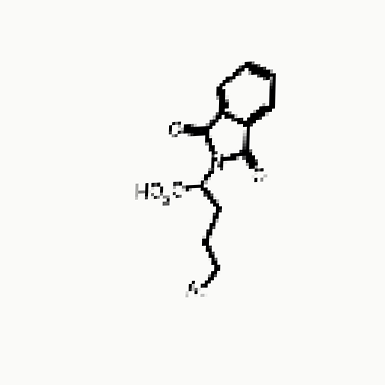 CC(=O)CCC[C@@H](C(=O)O)N1C(=O)c2ccccc2C1=O